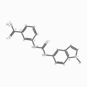 Cn1ccc2cc(NC(=O)Nc3cccc(C(N)=S)c3)ccc21